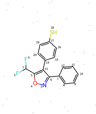 FC(F)c1onc(-c2ccccc2)c1-c1ccc(S)cc1